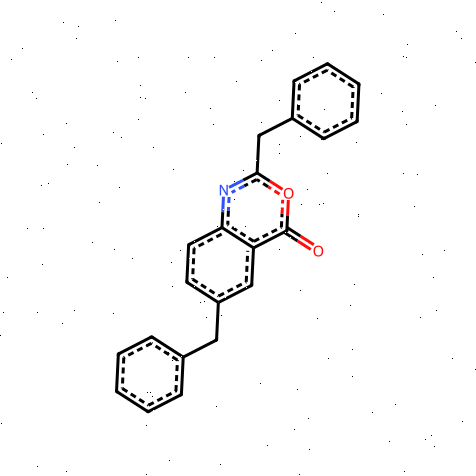 O=c1oc(Cc2ccccc2)nc2ccc(Cc3ccccc3)cc12